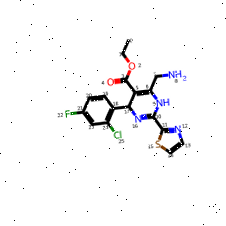 CCOC(=O)C1=C(CN)NC(c2nccs2)=NC1c1ccc(F)cc1Cl